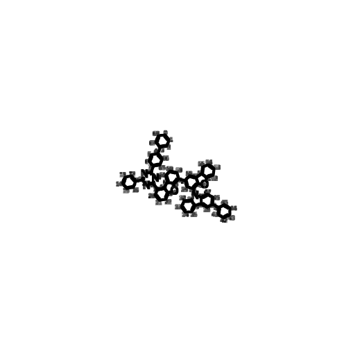 c1ccc(-c2ccc(-c3nc(-c4ccccc4)nc(-c4cccc5oc6c(-c7cc(-n8c9ccccc9c9cc(-c%10ccccc%10)ccc98)c8oc9ccccc9c8c7)cccc6c45)n3)cc2)cc1